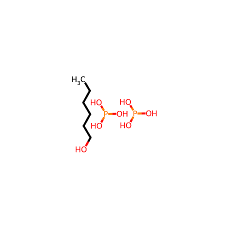 CCCCCCO.OP(O)O.OP(O)O